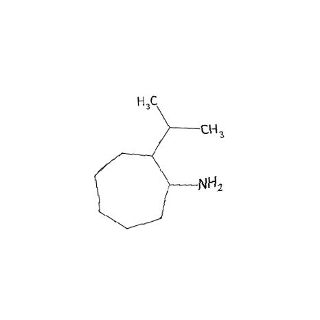 CC(C)C1CCCCCC1N